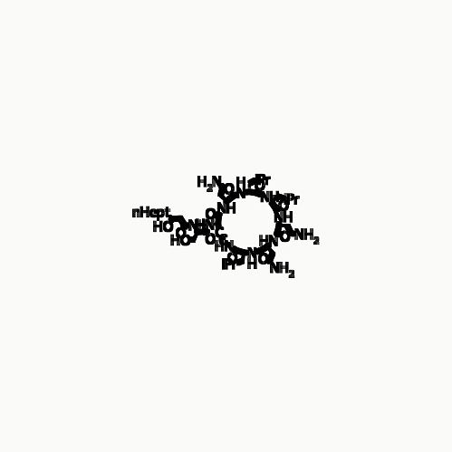 CCCCCCC[C@@H](O)CC(=O)N[C@H](CO)C(=O)N[C@H]1CCNC(=O)[C@H](CC(C)C)NC(=O)[C@H](CCN)NC(=O)[C@H](CCN)NC(=O)[C@H](CC(C)C)NC(=O)[C@@H](CC(C)C)NC(=O)[C@H](CCN)NC1=O